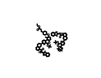 CC(C)(C)OC(=O)c1nc(N2CCc3cccc(C(=O)Nc4nc5ccccc5s4)c3C2)ccc1B1OC(C)(C)C(C)(C)O1.CCOC(=O)CCC1CCC(Oc2cccc(-c3ccc(N4CCc5cccc(C(=O)Nc6nc7ccccc7s6)c5C4)nc3C(=O)OC(C)(C)C)c2C)CC1